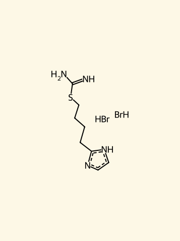 Br.Br.N=C(N)SCCCCc1ncc[nH]1